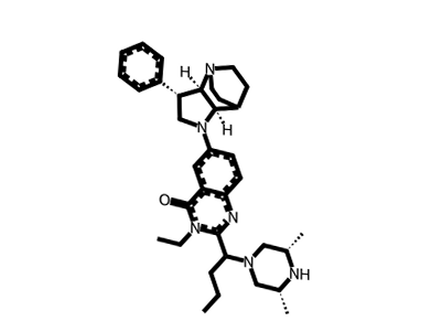 CCCC(c1nc2ccc(N3C[C@H](c4ccccc4)[C@@H]4[C@H]3C3CCN4CC3)cc2c(=O)n1CC)N1C[C@@H](C)N[C@@H](C)C1